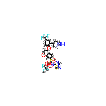 O=C(ON(c1ncns1)S(=O)(=O)c1ccc2c(c1)OCCC2Oc1ccc(C(F)(F)F)cc1C1CCNCC1)C(F)(F)F